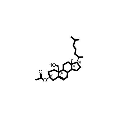 CC(=O)O[C@H]1CC[C@@]2(CO)C(=CCC3C2CC[C@@]2(C)C3CC[C@@H]2C(C)CCCC(C)C)C1